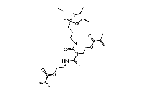 C=C(C)C(=O)OCCNC(=O)N(CCOC(=O)C(=C)C)C(=O)NCCC[Si](OCC)(OCC)OCC